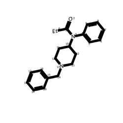 CCC(=O)N(c1ccccc1)C1CCN(Cc2ccccc2)CC1